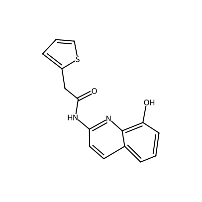 O=C(Cc1cccs1)Nc1ccc2cccc(O)c2n1